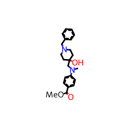 COC(=O)c1ccc(N(C)CC2(O)CCN(Cc3ccccc3)CC2)cc1